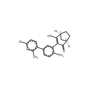 Cc1ccc(-c2ccc(Cl)nc2C)cc1C1=C(O)[C@H]2CC[C@H](C2)C1=O